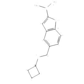 OB(O)c1cc2cc(COC3CCC3)ccc2o1